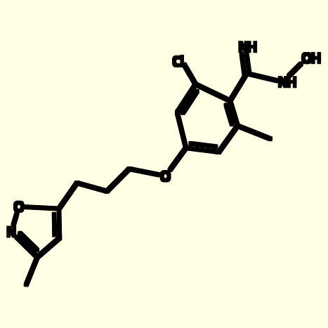 Cc1cc(CCCOc2cc(C)c(C(=N)NO)c(Cl)c2)on1